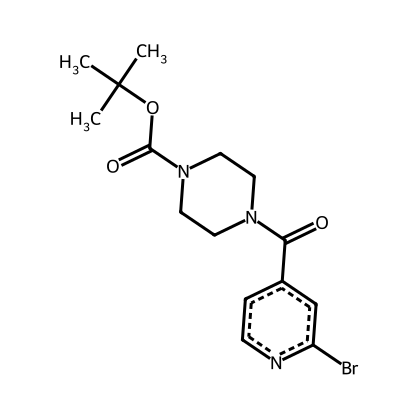 CC(C)(C)OC(=O)N1CCN(C(=O)c2ccnc(Br)c2)CC1